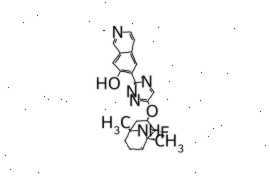 C[C@]12CCC[C@](C)(N1)[C@@H](F)[C@H](Oc1cnc(-c3cc4ccncc4cc3O)nn1)C2